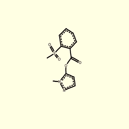 Cn1nccc1OC(=O)c1ccccc1S(C)(=O)=O